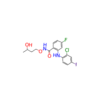 CC(O)CCONC(=O)c1ccc(F)cc1Nc1ccc(I)cc1Cl